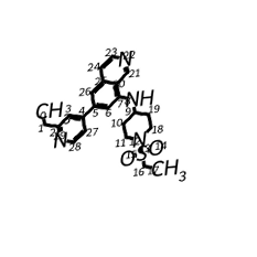 CCc1cc(-c2cc(NC3CCN(S(=O)(=O)CC)CC3)c3cnccc3c2)ccn1